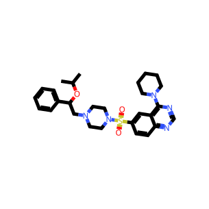 CC(C)OC(CN1CCN(S(=O)(=O)c2ccc3ncnc(N4CCCCC4)c3c2)CC1)c1ccccc1